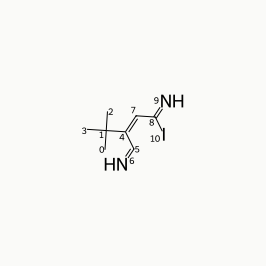 CC(C)(C)/C(C=N)=C/C(=N)I